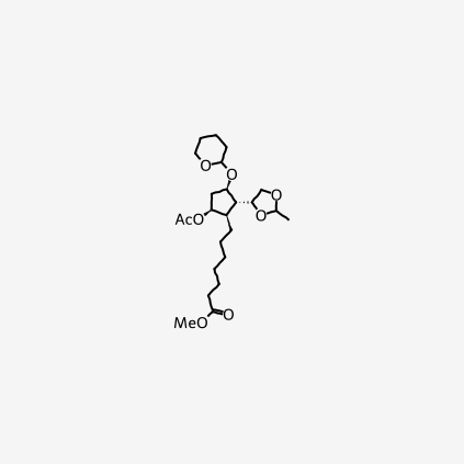 COC(=O)CCCCCC[C@@H]1[C@@H](C2COC(C)O2)[C@H](OC2CCCCO2)C[C@@H]1OC(C)=O